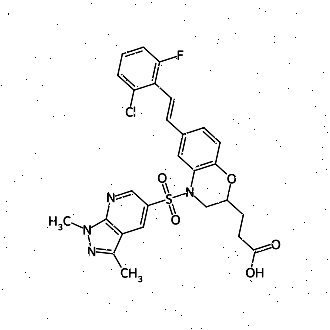 Cc1nn(C)c2ncc(S(=O)(=O)N3CC(CCC(=O)O)Oc4ccc(C=Cc5c(F)cccc5Cl)cc43)cc12